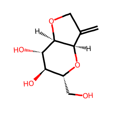 C=C1CO[C@@H]2[C@@H](O)[C@H](O)[C@@H](CO)O[C@H]12